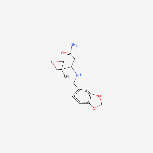 CC1(C(CC(N)=O)NCc2ccc3c(c2)OCO3)COC1